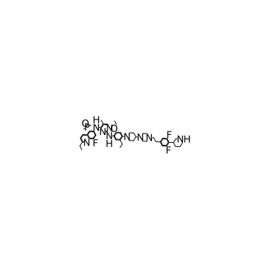 CCOc1cc(N2CCC(N3CCN(CCc4cc(F)c(C5CCCNC5)c(F)c4)CC3)CC2)c(CC)cc1Nc1ncc(C)c(Nc2cc(F)c3nc(CC)ccc3c2P(C)(C)=O)n1